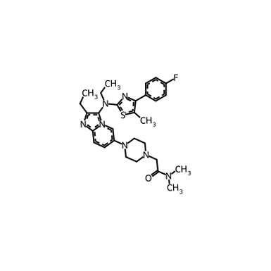 CCc1nc2ccc(N3CCN(CC(=O)N(C)C)CC3)cn2c1N(CC)c1nc(-c2ccc(F)cc2)c(C)s1